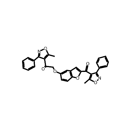 Cc1onc(-c2ccccc2)c1C(=O)COc1ccc2oc(C(=O)c3c(-c4ccccc4)noc3C)cc2c1